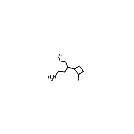 CC(C)CCC(CCN)C1CCC1C